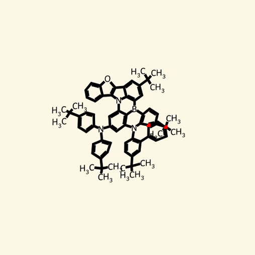 CC(C)(C)c1ccc(N(c2ccc(C(C)(C)C)cc2)c2cc3c4c(c2)-n2c5c(cc(C(C)(C)C)cc5c5oc6ccccc6c52)B4c2ccc(C(C)(C)C)cc2N3c2ccc(C(C)(C)C)cc2-c2ccccc2)cc1